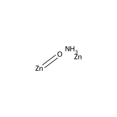 N.[O]=[Zn].[Zn]